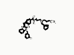 CCCCN(CCCNC(=O)c1ccc(/C=C2/Sc3ccccc3N(Cc3cccc(Cl)c3)C2=O)cc1)Cc1ccccc1